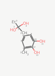 CCC(C)(O)O.Cc1cccc(O)c1O